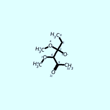 CCC([O])(OC)C(OC)C(C)=O